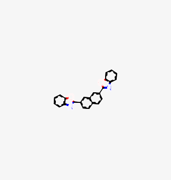 c1ccc2oc(-c3ccc4ccc(-c5nc6ccccc6o5)cc4c3)nc2c1